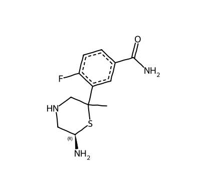 CC1(c2cc(C(N)=O)ccc2F)CNC[C@H](N)S1